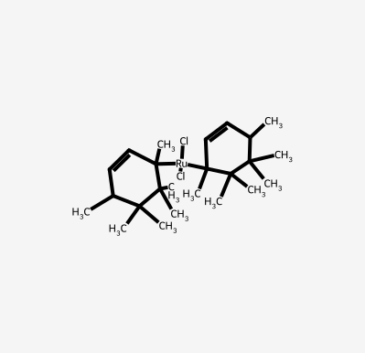 CC1C=C[C](C)([Ru]([Cl])([Cl])[C]2(C)C=CC(C)C(C)(C)C2(C)C)C(C)(C)C1(C)C